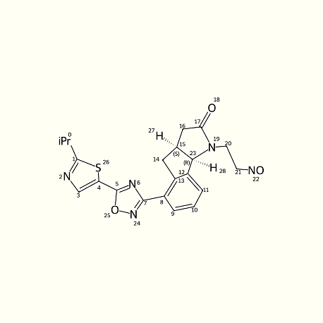 CC(C)c1ncc(-c2nc(-c3cccc4c3C[C@H]3CC(=O)N(CCN=O)[C@@H]43)no2)s1